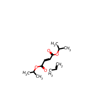 C=CC.CC(C)OC(=O)/C=C/C(=O)OC(C)C